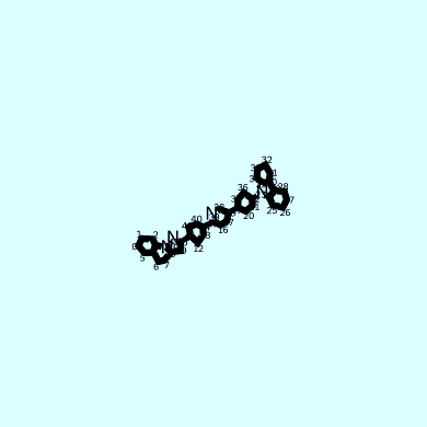 c1ccc2c(c1)ccc1cc(-c3ccc(-c4ccc(-c5ccc(-n6c7ccccc7c7ccccc76)cc5)cn4)cc3)nn12